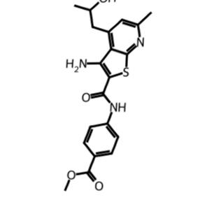 COC(=O)c1ccc(NC(=O)c2sc3nc(C)cc(CC(C)O)c3c2N)cc1